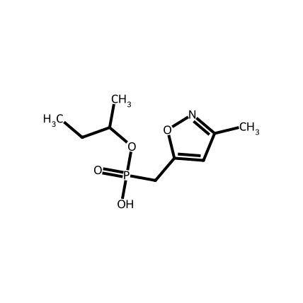 CCC(C)OP(=O)(O)Cc1cc(C)no1